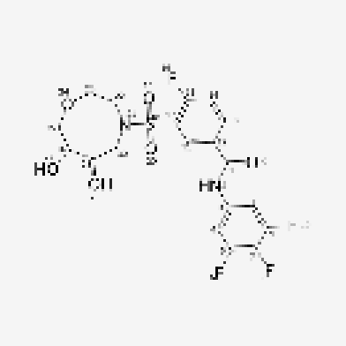 O=C(Nc1cc(F)c(F)c(F)c1)c1ccc(F)c(S(=O)(=O)N2CCOC[C@@H](O)[C@H](O)C2)c1